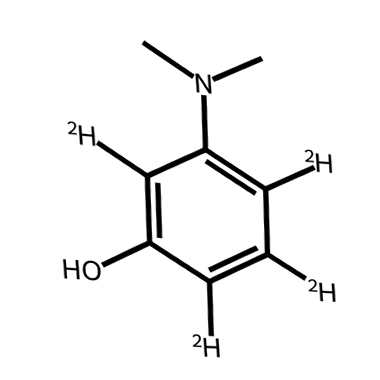 [2H]c1c([2H])c(O)c([2H])c(N(C)C)c1[2H]